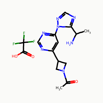 CC(=O)N1CC(c2cc(-n3ncnc3C(C)N)ncn2)C1.O=C(O)C(F)(F)F